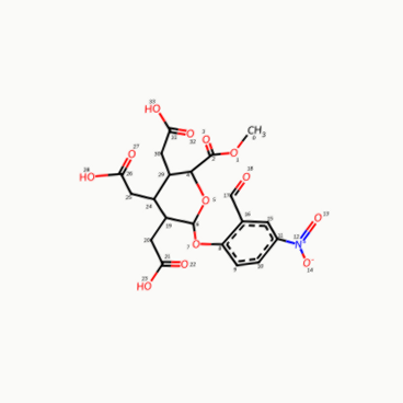 COC(=O)C1OC(Oc2ccc([N+](=O)[O-])cc2C=O)C(CC(=O)O)C(CC(=O)O)C1CC(=O)O